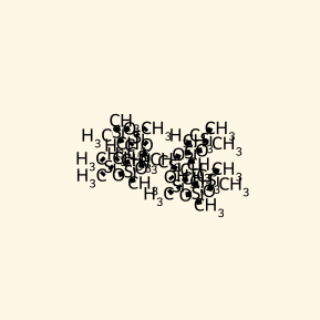 C[Si](C)(C)O[Si](C)(C)O[Si](C)(C)O[Si](C)(C)O[Si](C)(C)C.C[Si](C)(C)O[Si](C)(C)O[Si](C)(C)O[Si](C)(C)O[Si](C)(C)O[Si](C)(C)C